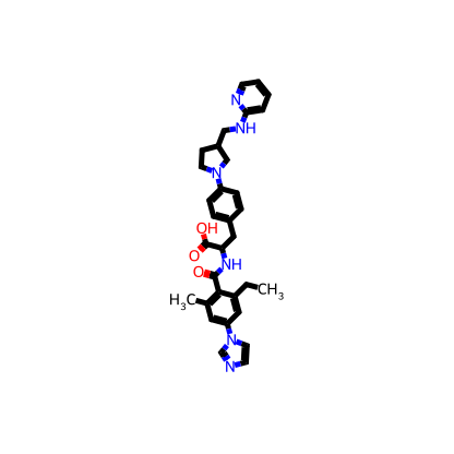 CCc1cc(-n2ccnc2)cc(C)c1C(=O)NC(Cc1ccc(N2CCC(CNc3ccccn3)C2)cc1)C(=O)O